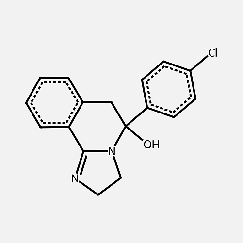 OC1(c2ccc(Cl)cc2)Cc2ccccc2C2=NCCN21